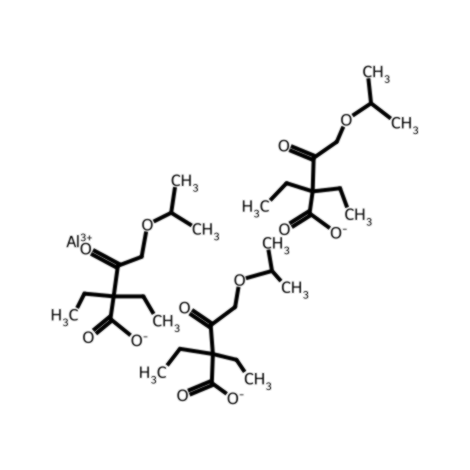 CCC(CC)(C(=O)[O-])C(=O)COC(C)C.CCC(CC)(C(=O)[O-])C(=O)COC(C)C.CCC(CC)(C(=O)[O-])C(=O)COC(C)C.[Al+3]